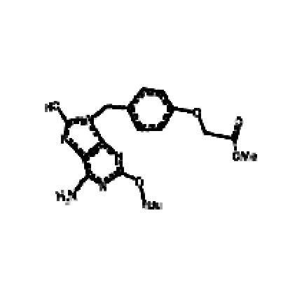 CCCCOc1nc(N)c2nc(O)n(Cc3ccc(OCC(=O)OC)cc3)c2n1